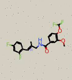 COc1cc(C(=O)NC/C(C)=C/c2ccc(F)cc2F)ccc1OC(F)F